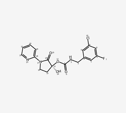 O=C(NCc1cc(F)cc(Cl)c1)O[C@@]1(O)CCN(c2ccccn2)C1=O